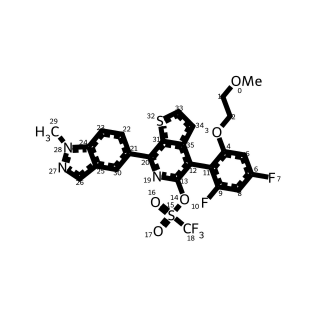 COCCOc1cc(F)cc(F)c1-c1c(OS(=O)(=O)C(F)(F)F)nc(-c2ccc3c(cnn3C)c2)c2sccc12